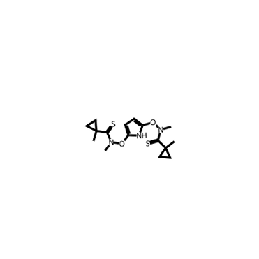 CN(Oc1ccc(ON(C)C(=S)C2(C)CC2)[nH]1)C(=S)C1(C)CC1